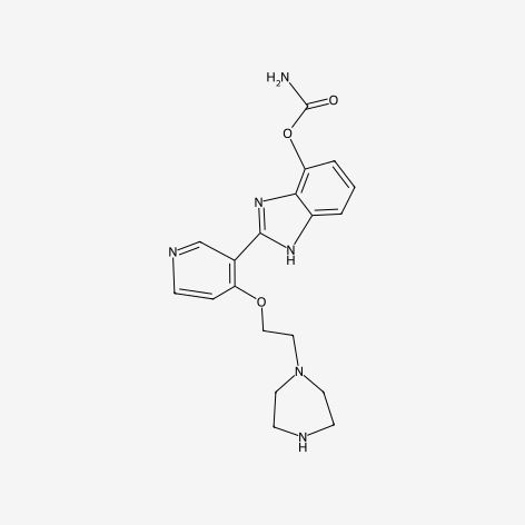 NC(=O)Oc1cccc2[nH]c(-c3cnccc3OCCN3CCNCC3)nc12